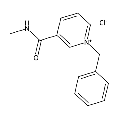 CNC(=O)c1ccc[n+](Cc2ccccc2)c1.[Cl-]